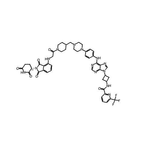 O=C1CC[C@H](N2C(=O)c3cccc(NCC(=O)N4CCC(CN5CCN(c6ccc(Nc7ncnc8c7ncn8C7CC(NC(=O)c8cccc(C(F)(F)F)n8)C7)cc6)CC5)CC4)c3C2=O)C(=O)N1